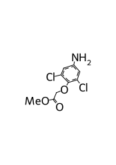 COC(=O)COc1c(Cl)cc(N)cc1Cl